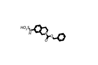 O=C(OCc1ccccc1)N1CCc2ccc(NS(=O)(=O)O)cc2C1